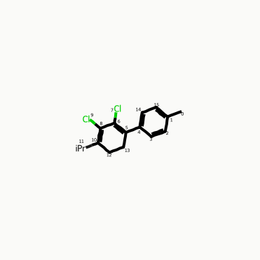 Cc1ccc(C2=C(Cl)C(Cl)=C(C(C)C)[CH]C2)cc1